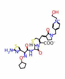 Nc1nc(C(=NOC2CCCC2)C(=O)N[C@@H]2C(=O)N3C(C(=O)[O-])=C(C=C4CCN(Cc5cc[n+](CCO)cc5)C4=O)CS[C@H]23)cs1